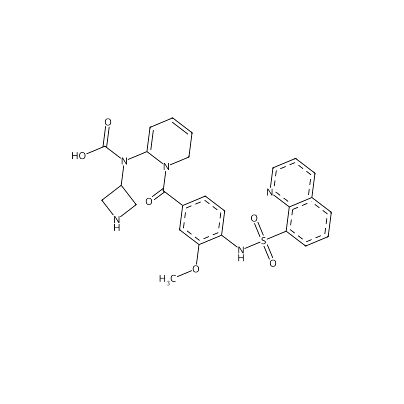 COc1cc(C(=O)N2CC=CC=C2N(C(=O)O)C2CNC2)ccc1NS(=O)(=O)c1cccc2cccnc12